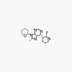 Cc1nc2c(-c3cccnc3F)ncnc2n1C1CCCCO1